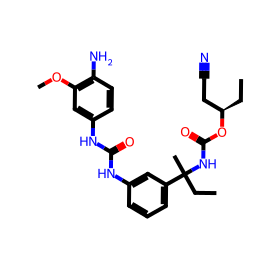 CC[C@H](CC#N)OC(=O)NC(C)(CC)c1cccc(NC(=O)Nc2ccc(N)c(OC)c2)c1